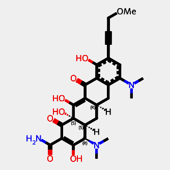 COCC#Cc1cc(N(C)C)c2c(c1O)C(=O)C1=C(O)[C@]3(O)C(=O)C(C(N)=O)=C(O)[C@H](N(C)C)[C@@H]3C[C@@H]1C2